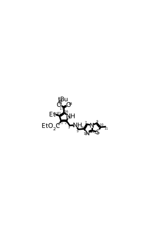 CCOC(=O)c1c(CNCc2cn3cc(C)sc3n2)[nH]c(C(=O)OC(C)(C)C)c1CC